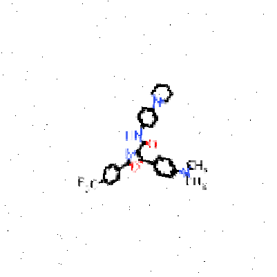 CN(C)c1ccc(-c2oc(-c3ccc(C(F)(F)F)cc3)nc2C(=O)Nc2ccc(N3CCCCC3)cc2)cc1